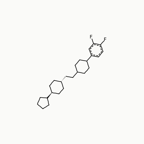 Fc1ccc(C2CCC(CC[C@H]3CC[C@H](C4CCCC4)CC3)CC2)cc1F